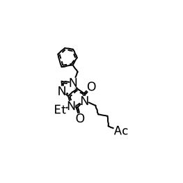 CCn1c(=O)n(CCCCC(C)=O)c(=O)c2c1ncn2Cc1ccccc1